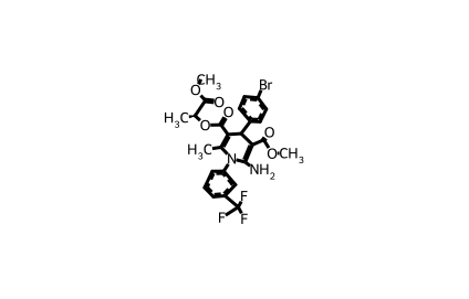 COC(=O)C1=C(N)N(c2cccc(C(F)(F)F)c2)C(C)=C(C(=O)O[C@@H](C)C(=O)OC)C1c1ccc(Br)cc1